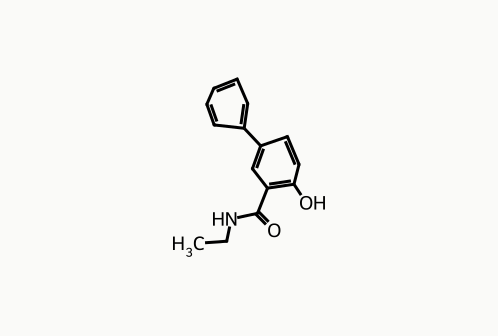 CCNC(=O)c1cc(-c2ccccc2)ccc1O